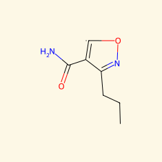 CCCc1no[c]c1C(N)=O